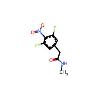 CNC(=O)Cc1cc(F)c([N+](=O)[O-])c(F)c1